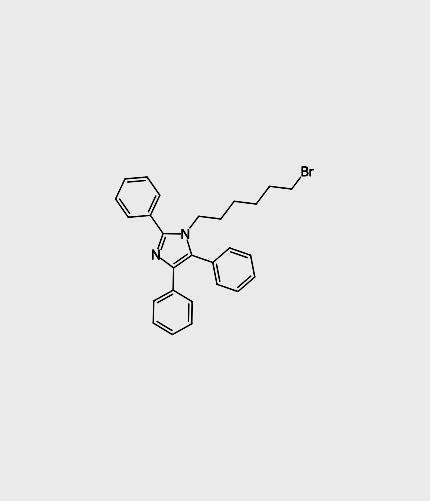 BrCCCCCCn1c(-c2ccccc2)nc(-c2ccccc2)c1-c1ccccc1